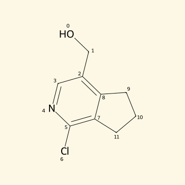 OCc1cnc(Cl)c2c1CCC2